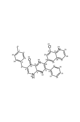 Cc1ccc(Cc2c[nH]c3nc(-c4ccccc4)c(-c4cc(Cl)c5ncccc5c4)nc3c2=O)cc1